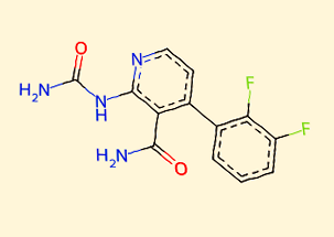 NC(=O)Nc1nccc(-c2cccc(F)c2F)c1C(N)=O